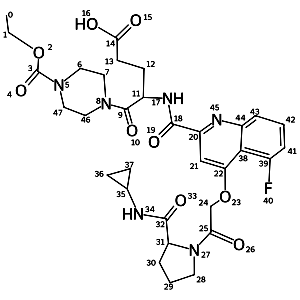 CCOC(=O)N1CCN(C(=O)C(CCC(=O)O)NC(=O)c2cc(OCC(=O)N3CCCC3C(=O)NC3CC3)c3c(F)cccc3n2)CC1